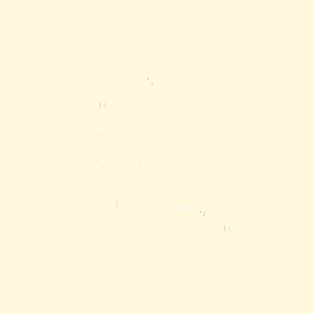 CC(=Cc1cnc(CCC(C)C)s1)C(=O)c1c(O)cc(C(C)CC/C=C/NC(=O)O)oc1=O